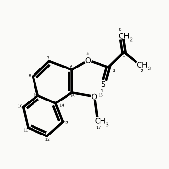 C=C(C)C(=S)Oc1ccc2ccccc2c1OC